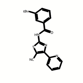 CC(C)(C)c1cccc(C(=O)Nc2nc(-c3ccccn3)c(C#N)s2)c1